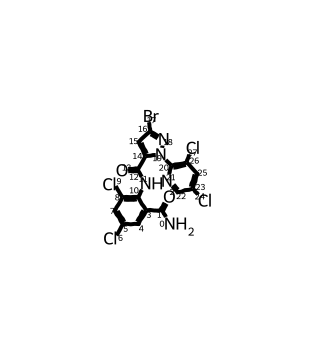 NC(=O)c1cc(Cl)cc(Cl)c1NC(=O)c1cc(Br)nn1-c1ncc(Cl)cc1Cl